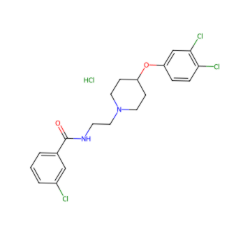 Cl.O=C(NCCN1CCC(Oc2ccc(Cl)c(Cl)c2)CC1)c1cccc(Cl)c1